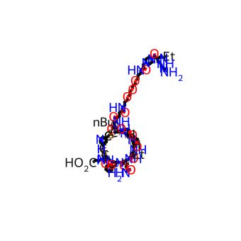 CCCC[C@H](NC(=O)CCC(=O)NCCCOCCOCCOCCCNC(=O)CN1CCN(C(=O)C(CNCC)CNCCN)CC1)C(=O)N[C@H]1CSCc2cncc(c2)CSC[C@@H](C(=O)NCCC(=O)O)NC(=O)[C@H](Cc2ccccc2)NC(=O)[C@H](CCC(N)=O)NC(=O)[C@H](CC)NC(=O)[C@@H]2CCCN2C(=O)[C@@H]2CCCN2C1=O